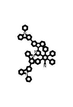 N#Cc1c(-c2ccccc2)c(-c2ccccc2)c(-c2ccccc2)c(-c2cc(C3c4ccccc4-c4cc(-c5ccc6c(c5)c5ccccc5n6-c5ccccc5)ccc43)nc(-n3c4ccccc4c4cc(-c5ccc6c(c5)c5ccccc5n6-c5ccccc5)ccc43)c2)c1-c1ccccc1